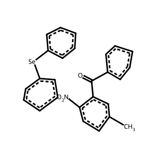 Cc1ccc([N+](=O)[O-])c(C(=O)c2ccccc2)c1.c1ccc([Se]c2ccccc2)cc1